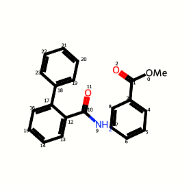 COC(=O)c1ccccc1.NC(=O)c1ccccc1-c1ccccc1